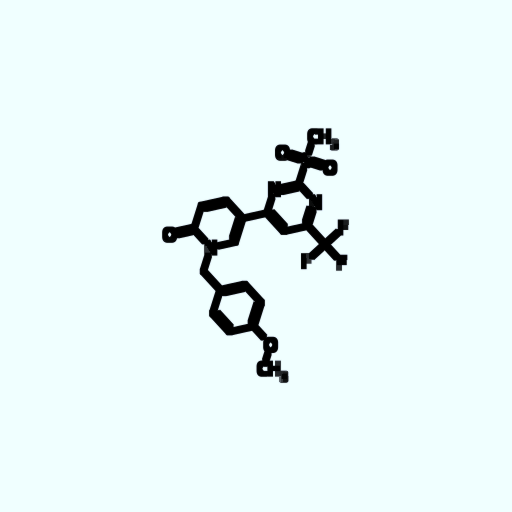 COc1ccc(Cn2cc(-c3cc(C(F)(F)F)nc(S(C)(=O)=O)n3)ccc2=O)cc1